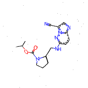 CC(C)OC(=O)N1CCCC1CNc1ccc2ncc(C#N)n2n1